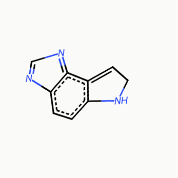 C1=Nc2ccc3c(c2=N1)=CCN3